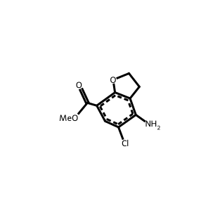 COC(=O)c1cc(Cl)c(N)c2c1OCC2